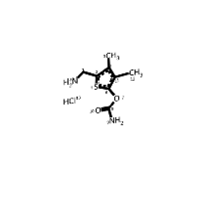 Cc1c(CN)sc(OC(N)=O)c1C.Cl